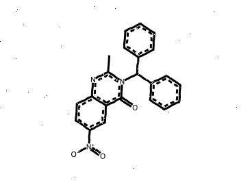 Cc1nc2ccc([N+](=O)[O-])cc2c(=O)n1C(c1ccccc1)c1ccccc1